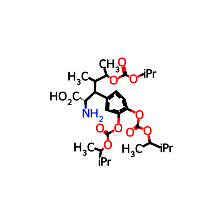 CC(C)OC(=O)OC(C)C(C)C(c1ccc(OC(=O)OC(C)C(C)C)c(OC(=O)OC(C)C(C)C)c1)[C@H](N)C(=O)O